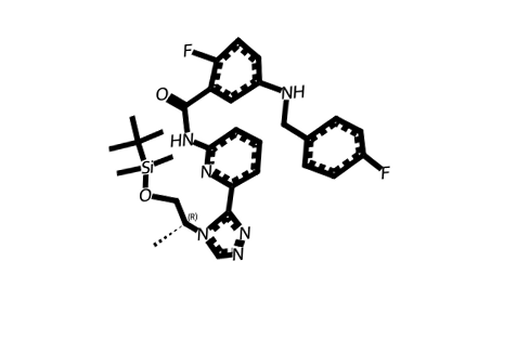 C[C@H](CO[Si](C)(C)C(C)(C)C)n1cnnc1-c1cccc(NC(=O)c2cc(NCc3ccc(F)cc3)ccc2F)n1